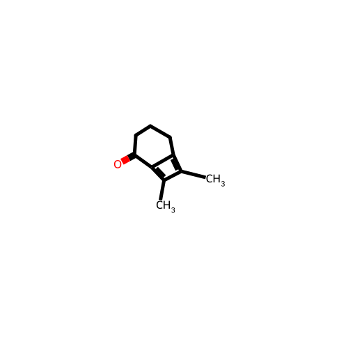 CC1=C2CCCC(=O)C2=C1C